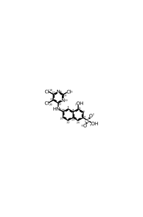 O=S(=O)(O)c1cc(O)c2cc(Nc3nc(Cl)nc(Cl)c3Cl)ccc2c1